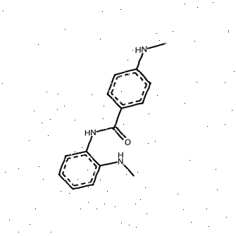 CNc1ccc(C(=O)Nc2ccccc2NC)cc1